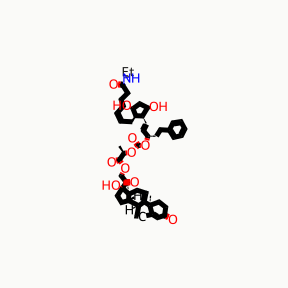 CCNC(=O)CCC/C=C\C[C@@H]1[C@@H](/C=C/[C@H](CCc2ccccc2)OC(=O)O[C@H](C)C(=O)OCC(=O)[C@@]2(O)CC[C@H]3[C@@H]4CCC5=CC(=O)CC[C@]5(C)C4=CC[C@@]32C)[C@H](O)C[C@@H]1O